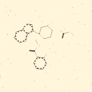 CCNC(=O)O[C@H]1CC[C@](CNC(=O)c2ccccc2OC)(c2csc3ccccc32)CC1